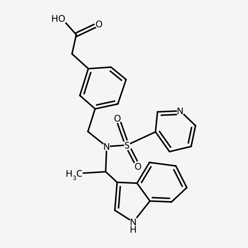 CC(c1c[nH]c2ccccc12)N(Cc1cccc(CC(=O)O)c1)S(=O)(=O)c1cccnc1